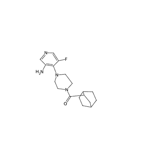 Nc1cncc(F)c1N1CCN(C(=O)C2CC3CCC2CC3)CC1